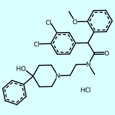 COc1ccccc1C(C(=O)N(C)CCN1CCC(O)(c2ccccc2)CC1)c1ccc(Cl)c(Cl)c1.Cl